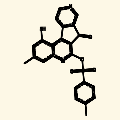 Cc1ccc(S(=O)(=O)Oc2nc3cc(C)cc(S)c3c3c2C(=O)c2cnccc2-3)cc1